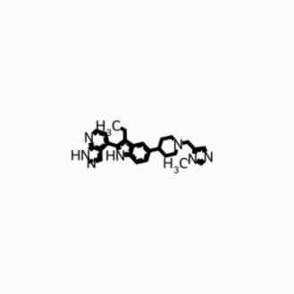 CCc1c(-c2ccnc3[nH]ncc23)[nH]c2ccc(C3CCN(Cc4cncn4C)CC3)cc12